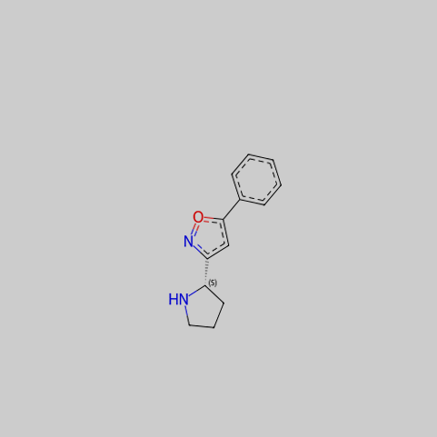 c1ccc(-c2cc([C@@H]3CCCN3)no2)cc1